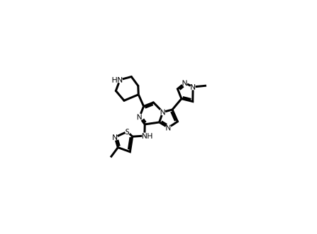 Cc1cc(Nc2nc(C3CCNCC3)cn3c(-c4cnn(C)c4)cnc23)sn1